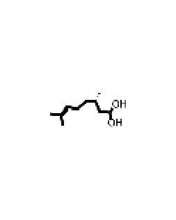 CC(C)=CCC[C@H](C)CC(O)O